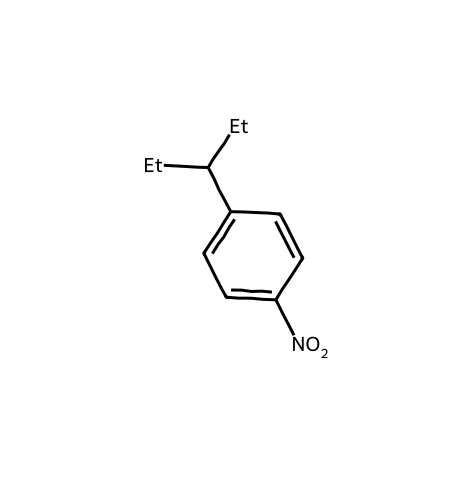 CCC(CC)c1ccc([N+](=O)[O-])cc1